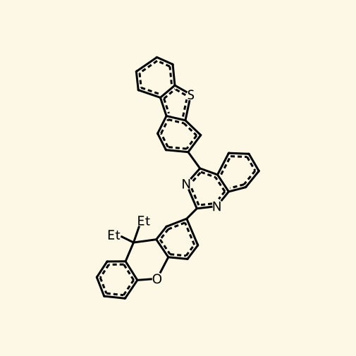 CCC1(CC)c2ccccc2Oc2ccc(-c3nc(-c4ccc5c(c4)sc4ccccc45)c4ccccc4n3)cc21